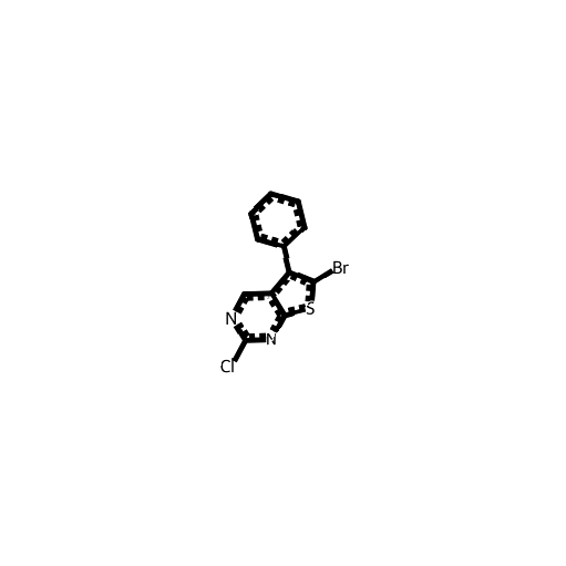 Clc1ncc2c(-c3ccccc3)c(Br)sc2n1